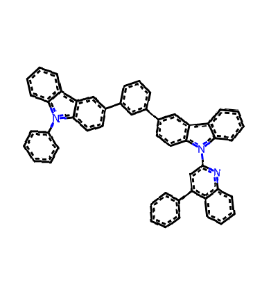 c1ccc(-c2cc(-n3c4ccccc4c4cc(-c5cccc(-c6ccc7c(c6)c6ccccc6n7-c6ccccc6)c5)ccc43)nc3ccccc23)cc1